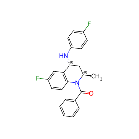 C[C@@H]1C[C@@H](Nc2ccc(F)cc2)c2cc(F)ccc2N1C(=O)c1ccccc1